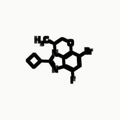 C[C@H]1COc2c(Br)cc(F)c3nc(C4CCC4)n1c23